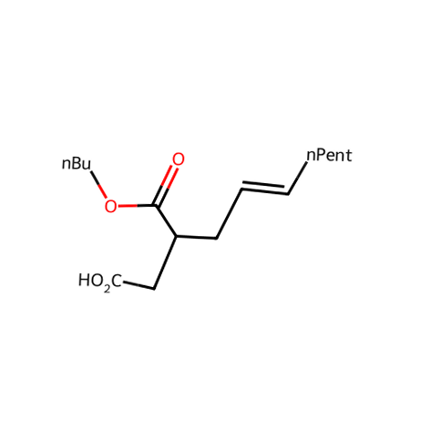 CCCCC/C=C/CC(CC(=O)O)C(=O)OCCCC